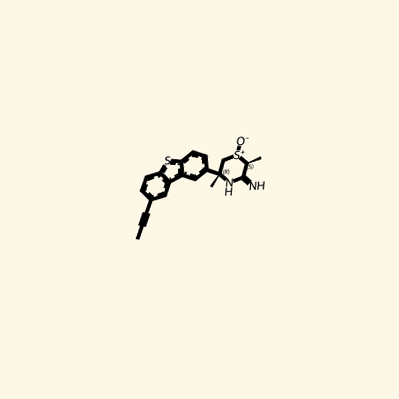 CC#Cc1ccc2sc3ccc([C@]4(C)C[S+]([O-])[C@@H](C)C(=N)N4)cc3c2c1